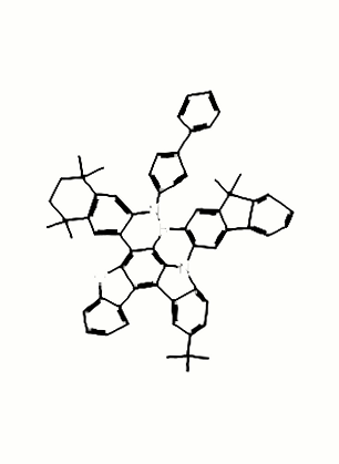 CC(C)(C)c1ccc2c(c1)c1c3c(oc4ccccc43)c3c4c1n2-c1cc2c(cc1B4N(c1ccc(-c4ccccc4)cc1)c1cc4c(cc1-3)C(C)(C)CCC4(C)C)C(C)(C)c1ccccc1-2